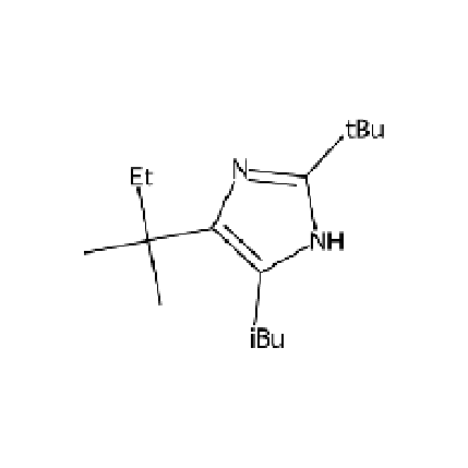 CCC(C)c1[nH]c(C(C)(C)C)nc1C(C)(C)CC